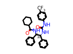 O=C(Nc1ccc(C(F)(F)F)cc1)N[C@H](c1ccccc1)[C@H](NC(=O)C1CCCCC1)c1ccccc1